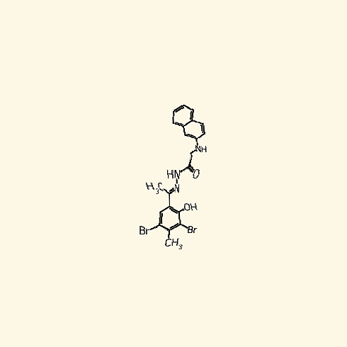 C/C(=N\NC(=O)CNc1ccc2ccccc2c1)c1cc(Br)c(C)c(Br)c1O